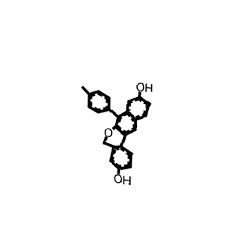 Cc1ccc(-c2c3c(cc4ccc(O)cc24)-c2ccc(O)cc2CO3)cc1